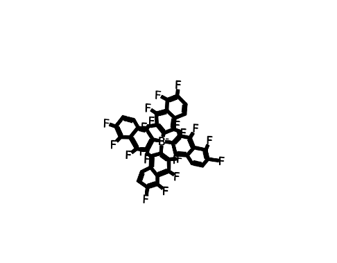 Fc1ccc2c(F)c([B-](c3c(F)c(F)c4c(F)c(F)ccc4c3F)(c3c(F)c(F)c4c(F)c(F)ccc4c3F)c3c(F)c(F)c4c(F)c(F)ccc4c3F)c(F)c(F)c2c1F